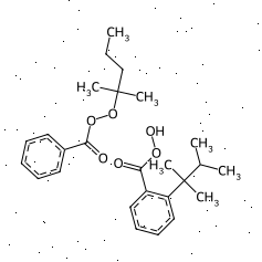 CC(C)C(C)(C)c1ccccc1C(=O)OO.CCCC(C)(C)OOC(=O)c1ccccc1